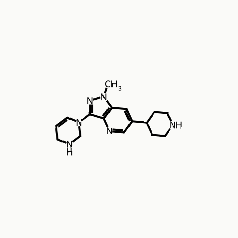 Cn1nc(N2C=CCNC2)c2ncc(C3CCNCC3)cc21